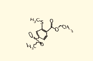 CCOC(=O)c1ccc(S(C)(=O)=O)cc1SC